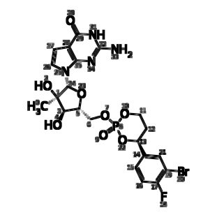 C[C@@]1(O)[C@H](O)[C@@H](COP2(=O)OCC[C@@H](c3ccc(F)c(Br)c3)O2)O[C@H]1n1ccc2c(=O)[nH]c(N)nc21